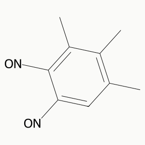 Cc1cc(N=O)c(N=O)c(C)c1C